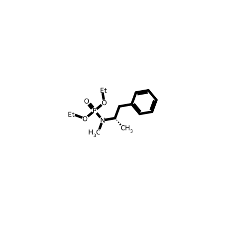 CCOP(=O)(OCC)N(C)[C@@H](C)Cc1ccccc1